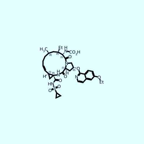 CCOc1ccc2c(O[C@@H]3C[C@H]4C(=O)N[C@]5(C(=O)NS(=O)(=O)C6CC6)C[C@H]5C=CCC[C@@H](C)C[C@@H](CC)[C@H](NC(=O)O)C(=O)N4C3)nccc2c1